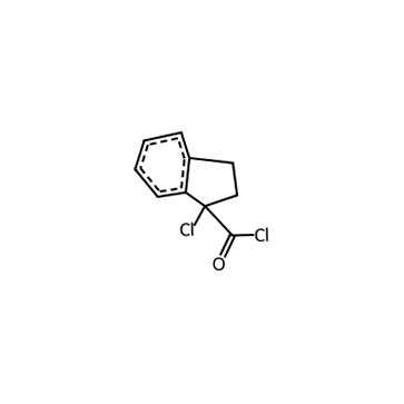 O=C(Cl)C1(Cl)CCc2ccccc21